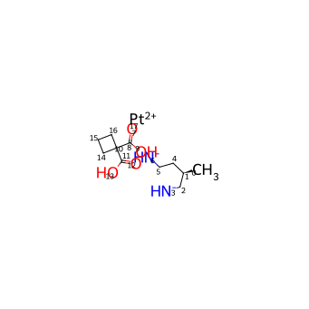 C[C@@H](C[NH-])CC[NH-].O=C(O)C1(C(=O)O)CCC1.[Pt+2]